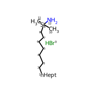 Br.CCCCCCCCCCCCCC[Si](C)(C)N